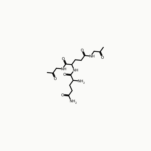 CC(=O)CNC(=O)CCC(NC(=O)C(N)CCC(N)=O)C(=O)NCC(C)=O